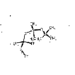 CCSC(CC)(CC)O[Si](C)(C)O[Si](C)(C)C